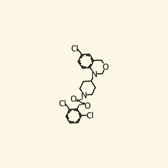 O=S(=O)(c1c(Cl)cccc1Cl)N1CCC(N2COCc3cc(Cl)ccc32)CC1